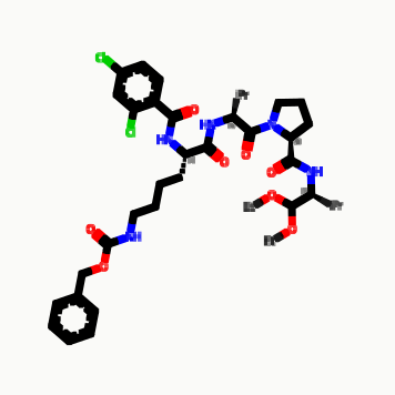 CCOC(OCC)[C@@H](NC(=O)[C@@H]1CCCN1C(=O)[C@@H](NC(=O)[C@H](CCCCNC(=O)OCc1ccccc1)NC(=O)c1ccc(Cl)cc1Cl)C(C)C)C(C)C